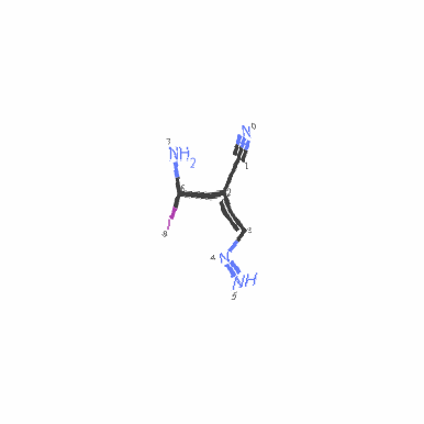 N#C/C(=C/N=N)C(N)I